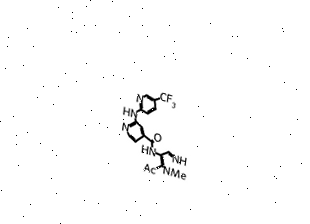 CN/C(C(C)=O)=C(\C=N)NC(=O)c1ccnc(Nc2ccc(C(F)(F)F)cn2)c1